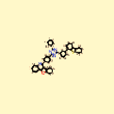 c1ccc(-c2nc(-c3ccc(-c4nc5ccccc5c5oc6ccccc6c45)cc3)nc(-c3cccc(-c4cccc5c4sc4ccccc45)c3)n2)cc1